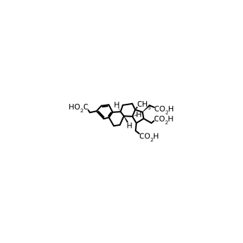 C[C@]12CC[C@@H]3c4ccc(CC(=O)O)cc4CC[C@H]3[C@@H]1C(CC(=O)O)C(CC(=O)O)[C@@H]2CC(=O)O